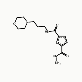 NNC(=O)c1ccc(C(=O)NCCCN2CCOCC2)s1